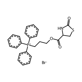 O=C1NC(C(=O)OCCC[P+](c2ccccc2)(c2ccccc2)c2ccccc2)CS1.[Br-]